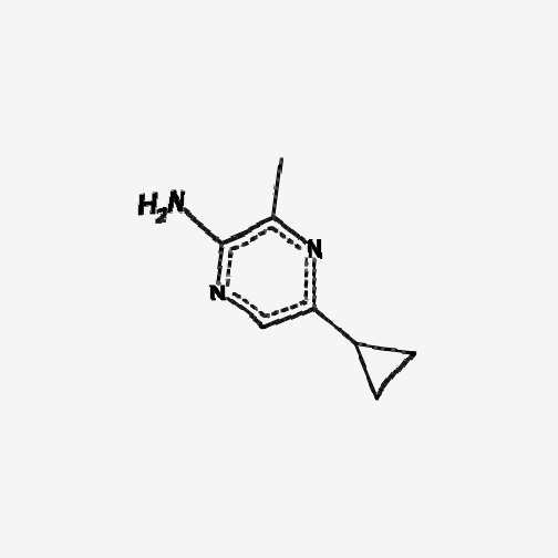 Cc1nc(C2CC2)cnc1N